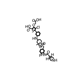 CC1(C)C[C@@H](Nc2cccc(-c3sc(C(=O)O)c(OCC(=O)O)c3Cl)c2)CCN1S(=O)(=O)Cc1ccc(F)c(NC(=O)C2[C@H]3CNC[C@@H]23)c1